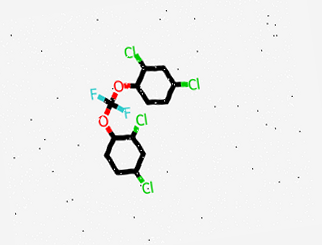 FC(F)(OC1CCC(Cl)CC1Cl)OC1CCC(Cl)CC1Cl